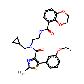 COc1cccc(-c2sc(C)nc2C(=O)N(CCNC(=O)c2cccc3c2OCCO3)CC2CC2)c1